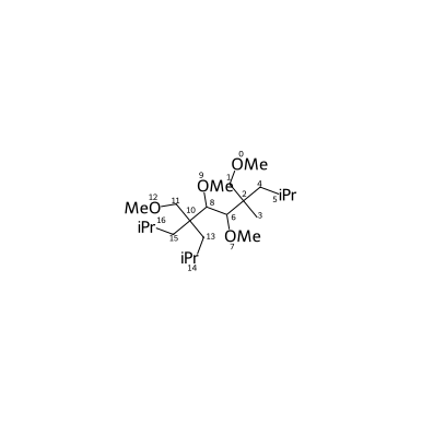 COCC(C)(CC(C)C)C(OC)C(OC)C(COC)(CC(C)C)CC(C)C